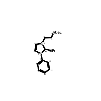 CCCCCCCCCCCCN1C=CN(c2ccccc2)C1C(C)C